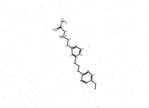 CCc1ccc(CCCc2cccc(CCNCC(N)=O)c2)cc1